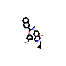 CC(=O)Oc1cccc([C@@]23CCN(CC4CC4)C[C@@]2(O)CC[C@@H](N(C)C(=O)c2ccc4ccccc4c2)C3)c1